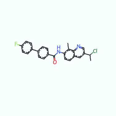 Cc1c(NC(=O)c2ccc(-c3ccc(F)cc3)cc2)ccc2cc(C(C)Cl)cnc12